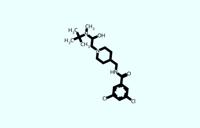 CN(C(O)CN1CCC(CNC(=O)c2cc(Cl)cc(Cl)c2)CC1)C(C)(C)C